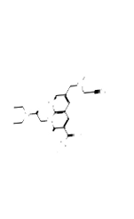 CCN(CC)C(=O)Cn1c(=O)c(C(N)=O)cc2cc(CN(C)CC#N)cnc21